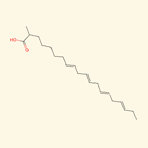 CC/C=C/C/C=C/C/C=C/C/C=C/CCCCCC(C)C(=O)O